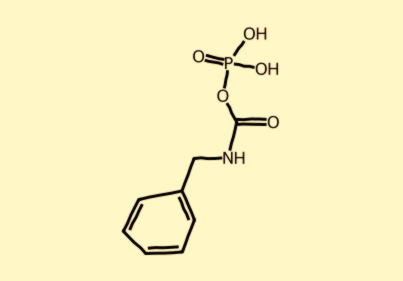 O=C(NCc1ccccc1)OP(=O)(O)O